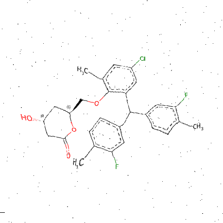 Cc1ccc(C(c2ccc(C)c(F)c2)c2cc(Cl)cc(C)c2OC[C@@H]2C[C@@H](O)CC(=O)O2)cc1F